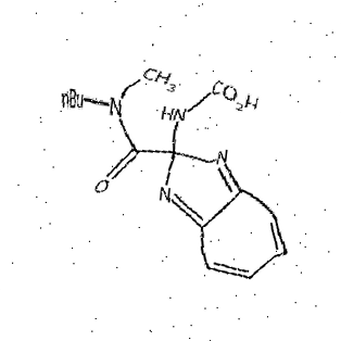 CCCCN(C)C(=O)C1(NC(=O)O)N=c2ccccc2=N1